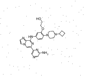 Nc1cncc(-c2cn3ccnc3c(Nc3ccc(N4CCN(C5CCC5)CC4)c(OCCO)c3)n2)n1